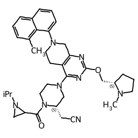 Cc1cccc2cccc(N3CCc4c(nc(OC[C@@H]5CCCN5C)nc4N4CCN(C(=O)C5CN5C(C)C)[C@@H](CC#N)C4)C3)c12